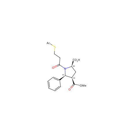 COC(=O)[C@@H]1C[C@H](C(=O)O)N(C(=O)CCSC(C)=O)[C@@H]1c1ccccc1